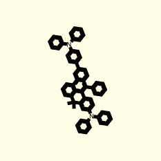 CC1(C)c2cc(N(c3ccccc3)c3ccccc3)ccc2-c2c(-c3ccccc3)c3ccc(-c4ccc(N(c5ccccc5)c5ccccc5)cc4)cc3c3cccc1c23